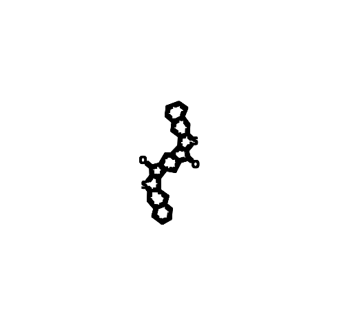 O=c1c2cc3c(cc2c2c1sc1cc4ccccc4cc12)c(=O)c1sc2cc4ccccc4cc2c13